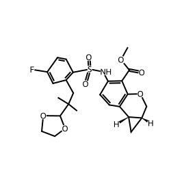 COC(=O)c1c(NS(=O)(=O)c2ccc(F)cc2CC(C)(C)C2OCCO2)ccc2c1OC[C@@H]1C[C@H]21